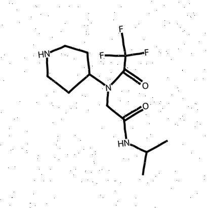 CC(C)NC(=O)CN(C(=O)C(F)(F)F)C1CCNCC1